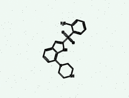 O=S(=O)(c1cc2cccc(N3CCNCC3)c2[nH]1)c1ccccc1C(F)(F)F